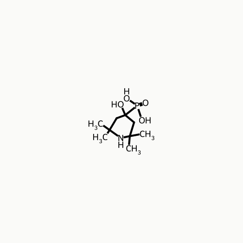 CC1(C)CC(O)(P(=O)(O)O)CC(C)(C)N1